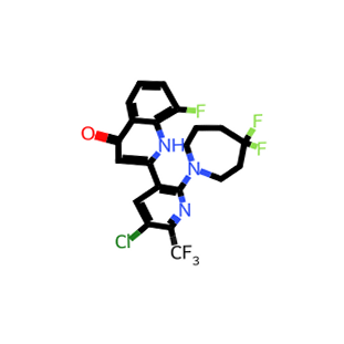 O=c1cc(-c2cc(Cl)c(C(F)(F)F)nc2N2CCCC(F)(F)CC2)[nH]c2c(F)cccc12